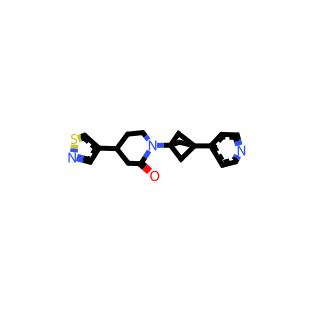 O=C1CC(c2cnsc2)CCN1C12CC(c3ccncc3)(C1)C2